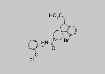 CCOc1ccccc1CNC(=O)N1CCC2(CC1)CC(CC(=O)O)c1cccc(Br)c12